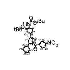 CC(C)(C)OC(=O)Nc1ccc(C2=NN(C(=O)c3ccc([N+](=O)[O-])cc3)C(c3ccccc3)C2)cc1OC(C)(C)C